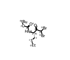 CCSC[C@H](NC(=O)OC(C)(C)C)C(=O)C(Br)Br